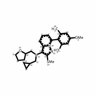 COc1cc(C)c(-c2cccc3c(N(CC4CC4)CC4CCCO4)c(SC)nn23)c(C)c1